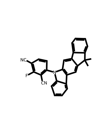 CC1(C)c2ccccc2-c2cc3c(cc21)c1ccccc1n3-c1ccc(C#N)c(F)c1C#N